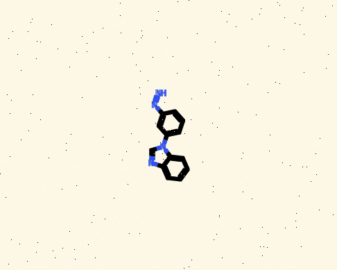 N=Nc1cccc(-n2cnc3ccccc32)c1